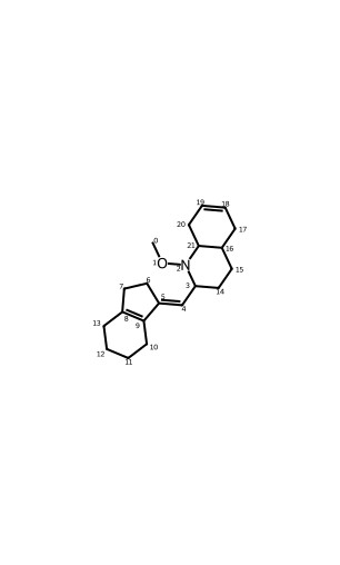 CON1C(C=C2CCC3=C2CCCC3)CCC2CC=CCC21